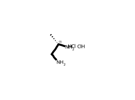 C[C@H](N)CN.Cl.Cl